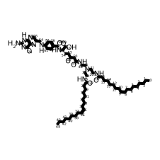 CCCCCCCC/C=C\CCCCCCCC(=O)NCCN(CCNC(=O)CCCCCCC/C=C\CCCCCCCC)CCNC(=O)CC(=O)CC[C@H](NC(=O)c1ccc(NCc2cnc3[nH]c(N)nc(=O)c3n2)cc1)C(=O)O